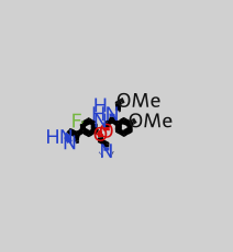 COCCNC(C(=O)Nc1cc(F)c(-c2cn[nH]c2)cc1OCCN(C)C)c1cccc(OC)c1